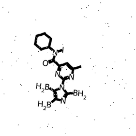 Bc1nc(B)n(-c2nc(C)cc(C(=O)N(I)C3CCCCC3)n2)c1B